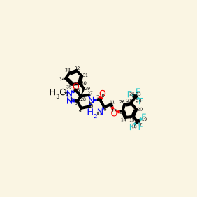 CN1N=C2CCN(C(=O)C(N)COc3cc(C(F)(F)F)cc(C(F)(F)F)c3)C[C@@]2(Cc2ccccc2)C1=O